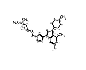 Cc1nc(Br)cc2c(-c3cnn(COCC[Si](C)(C)C)c3)cn(C3CCN(C)CC3)c12